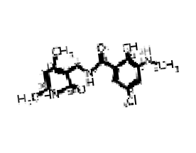 CNc1cc(Cl)cc(C(=O)NCc2c(C)cc(C)[nH]c2=O)c1C